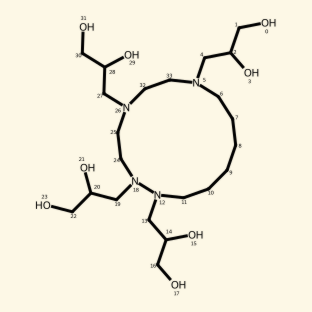 OCC(O)CN1CCCCCCN(CC(O)CO)N(CC(O)CO)CCN(CC(O)CO)CC1